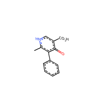 Cc1[nH]cc(C(=O)O)c(=O)c1-c1ccccc1